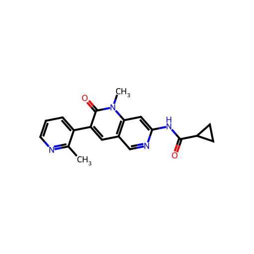 Cc1ncccc1-c1cc2cnc(NC(=O)C3CC3)cc2n(C)c1=O